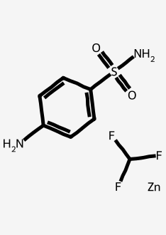 FC(F)F.Nc1ccc(S(N)(=O)=O)cc1.[Zn]